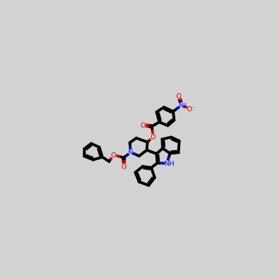 O=C(OC1CCN(C(=O)OCc2ccccc2)CC1c1c(-c2ccccc2)[nH]c2ccccc12)c1ccc([N+](=O)[O-])cc1